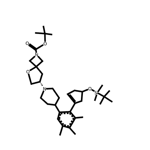 Cc1cc(C2CCN([C@@H]3COC4(C3)CN(C(=O)OC(C)(C)C)C4)CC2)c(C2=CCC(O[Si](C)(C)C(C)(C)C)C2)c(C)c1C